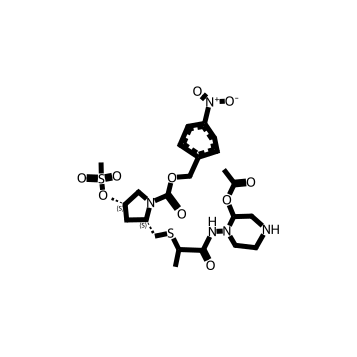 CC(=O)OC1CNCCN1NC(=O)C(C)SC[C@@H]1C[C@H](OS(C)(=O)=O)CN1C(=O)OCc1ccc([N+](=O)[O-])cc1